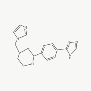 c1cn(CC2CCOC(c3ccc(-c4nnc[nH]4)cc3)C2)cn1